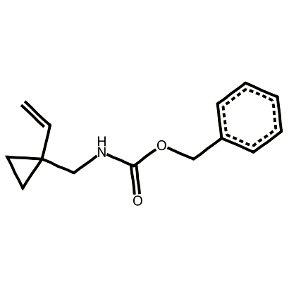 C=CC1(CNC(=O)OCc2ccccc2)CC1